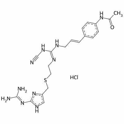 CC(=O)Nc1ccc(C=CCNC(=NCCSCc2c[nH]c(N=C(N)N)n2)NC#N)cc1.Cl